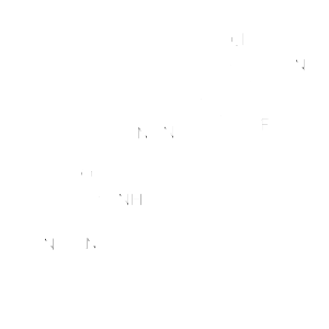 C[C@@H](Cn1ccc(-c2cc(F)c(C#N)c(Cl)c2)n1)NC(=O)c1cn2ccccc2n1